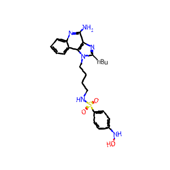 CCCCc1nc2c(N)nc3ccccc3c2n1CCCCNS(=O)(=O)c1ccc(NO)cc1